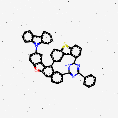 c1ccc(C2=NC(c3cccc4sc5ccc(-c6cccc7oc8ccc(-n9c%10ccccc%10c%10ccccc%109)cc8c67)cc5c34)NC(c3ccccc3)=N2)cc1